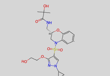 CC(C)(O)C(=O)NC[C@H]1CN(S(=O)(=O)c2cn(C3CC3)nc2OCCO)c2c[c]ccc2O1